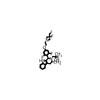 C[C@@H]1Cc2c([nH]c3ccccc23)C(c2c(F)cc(OCCN3CC(F)(CF)C3)cc2F)N1CC(C)(C)F